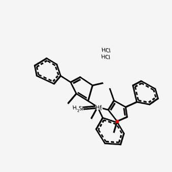 CC1=[C]([Hf]([CH3])(=[SiH2])([C]2=C(C)C(c3ccccc3)=CC2C)[c]2ccccc2)C(C)C=C1c1ccccc1.Cl.Cl